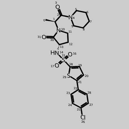 C[C@@H](C(=O)N1CCCCC1)N1CC[C@H](NS(=O)(=O)c2ccc(-c3ccc(Cl)cc3)s2)C1=O